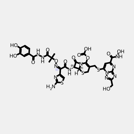 CC(C)(O/N=C(\C(=O)N[C@@H]1C(=O)N2C(OC(=O)O)=C(CSc3cc(C(=O)NO)nc4nc(CO)nn34)CS[C@H]12)c1csc(N)n1)C(=O)NNC(=O)c1ccc(O)c(O)c1